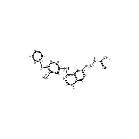 CC(=N)N/N=C/c1ccc2ncnc(Nc3ccc(Oc4ccccc4)c(C)c3)c2c1